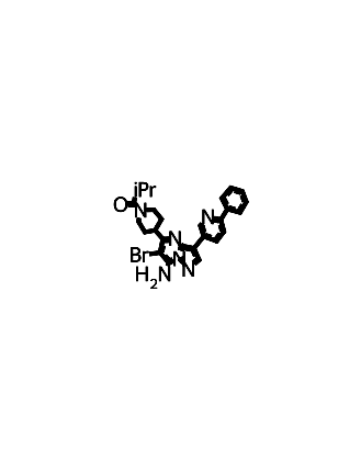 CC(C)C(=O)N1CCC(c2nc3c(-c4ccc(-c5ccccc5)nc4)cnn3c(N)c2Br)CC1